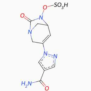 NC(=O)c1cnn(C2=CC3CN(C2)C(=O)N3OS(=O)(=O)O)c1